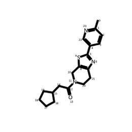 Cc1ccc(-c2nc3c(s2)CN(C(=O)CC2CCCC2)CC3)cn1